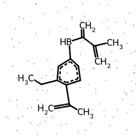 C=C(C)C(=C)Bc1ccc(C(=C)C)c(CC)c1